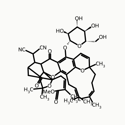 COC(=O)/C(C)=C\CC12OC(C)(C)C3CC(C1=O)C(C(C#N)C#N)C1C(=O)c4c(O[C@H]5O[C@@H](CO)[C@H](O)[C@@H](O)[C@@H]5O)c5c(c(CC=C(C)C)c4OC132)OC(C)(CCC=C(C)C)C=C5